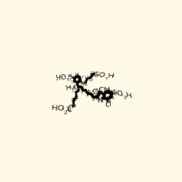 CC1(C)C(C=CC=CC=C2N(CCCCS(=O)(=O)O)c3ccc(S(=O)(=O)O)cc3C2(C)CCCCCC(=O)O)=Nc2c(Cl)cc(S(=O)(=O)O)cc21